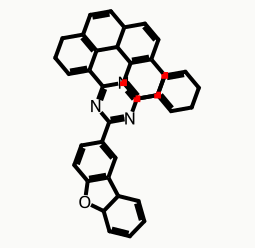 C1=CC2Oc3ccc(-c4nc(C5=CCCC=C5)nc(C5=CCCC6=C5C5C7=C(C=CC5C=C6)CCC=C7)n4)cc3C2C=C1